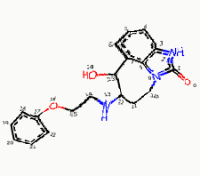 O=c1[nH]c2cccc3c2n1CCC(NCCOc1ccccc1)C3O